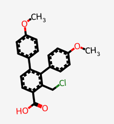 COc1ccc(-c2ccc(C(=O)O)c(CCl)c2-c2ccc(OC)cc2)cc1